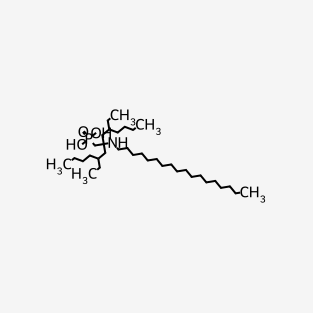 CCCCCCCCCCCCCCCCCCNC(CC(CC)CCCC)(CC(CC)CCCC)CP(=O)(O)O